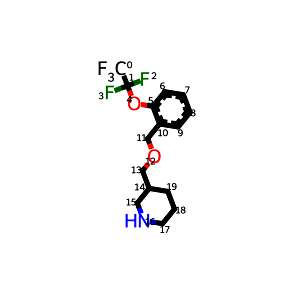 FC(F)(F)C(F)(F)Oc1ccccc1COCC1[CH]NCCC1